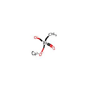 C[As](=O)([O-])[O-].[Ca+2]